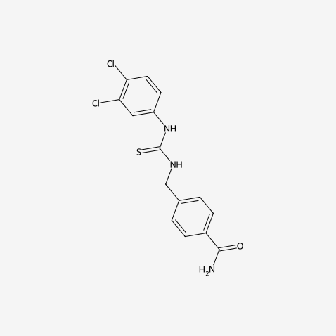 NC(=O)c1ccc(CNC(=S)Nc2ccc(Cl)c(Cl)c2)cc1